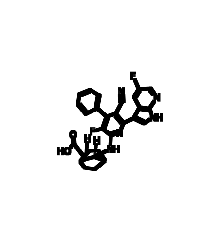 N#Cc1c(-c2c[nH]c3ncc(F)cc23)nc(N[C@H]2C3CCC(CC3)[C@@H]2C(=O)O)c(F)c1-c1ccccc1